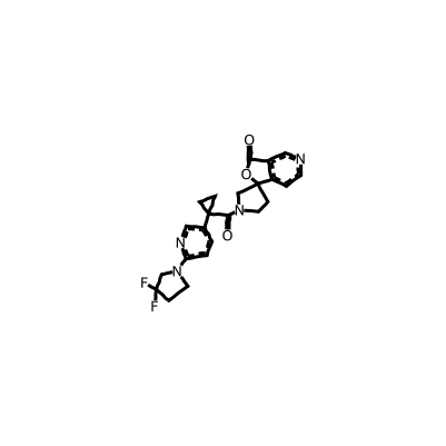 O=C1OC2(CCN(C(=O)C3(c4ccc(N5CCC(F)(F)C5)nc4)CC3)C2)c2ccncc21